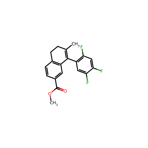 COC(=O)c1ccc2c(c1)C(c1cc(F)c(F)cc1F)=C(C)CC2